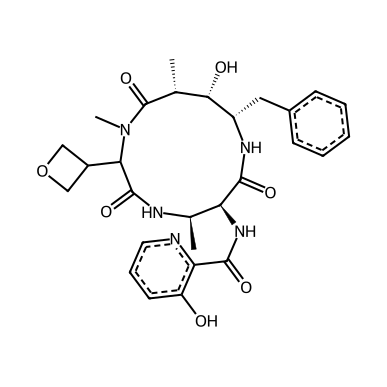 C[C@H]1NC(=O)C(C2COC2)N(C)C(=O)[C@H](C)[C@H](O)[C@H](Cc2ccccc2)NC(=O)[C@H]1NC(=O)c1ncccc1O